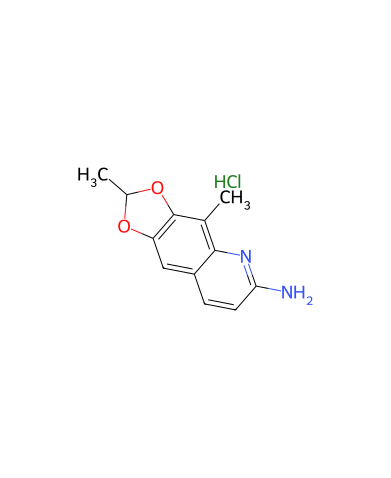 Cc1c2c(cc3ccc(N)nc13)OC(C)O2.Cl